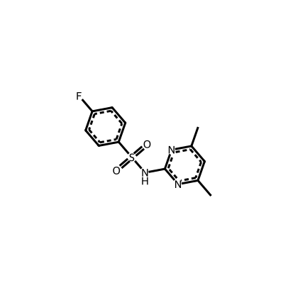 Cc1cc(C)nc(NS(=O)(=O)c2ccc(F)cc2)n1